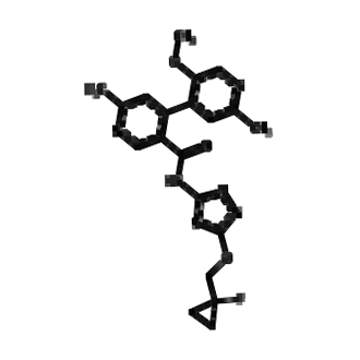 COc1cnc(C)cc1-c1cc(C)ncc1C(=O)Nc1nnc(OCC2(F)CC2)s1